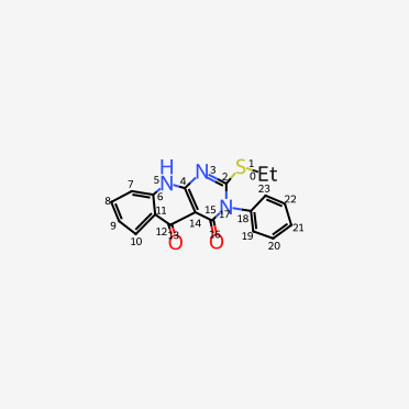 CCSc1nc2[nH]c3ccccc3c(=O)c2c(=O)n1-c1ccccc1